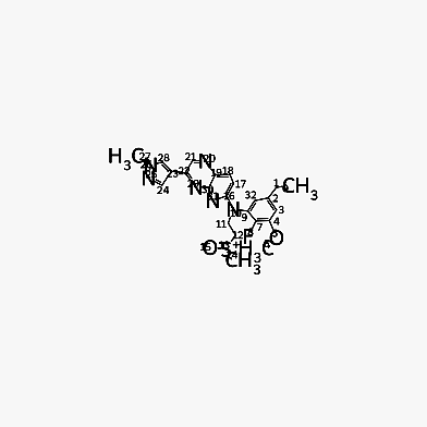 CCc1cc(OC)c(F)c(N(CC[S+](C)[O-])c2ccc3ncc(-c4cnn(C)c4)nc3n2)c1